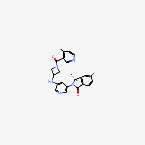 Cc1ccncc1C(=O)N1CC(Nc2cncc(N3C(=O)c4ccc(Cl)cc4[C@H]3C)c2)C1